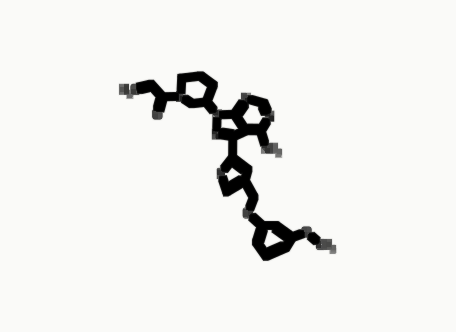 C=CC(=O)N1CCCC(n2nc(-c3cc(COc4cccc(OC)c4)cs3)c3c(N)ncnc32)C1